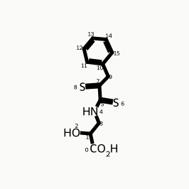 O=C(O)C(O)CNC(=S)C(=S)Cc1ccccc1